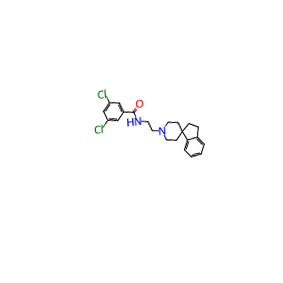 O=C(NCCN1CCC2(CCc3ccccc32)CC1)c1cc(Cl)cc(Cl)c1